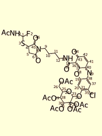 CC(=O)NC(F)SC1CC(=O)N(CCCCNC(=O)c2c3oc4cc(OC5OC(COC(C)=O)C(OC(C)=O)C(OC(C)=O)C5(OC(C)=O)OC(C)=O)c(Cl)cc4nc-3ccc2=O)C1=O